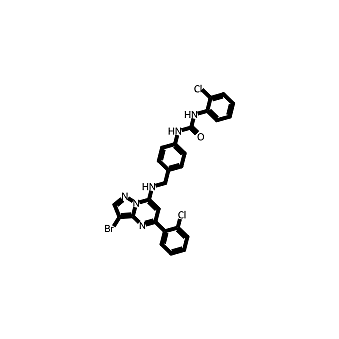 O=C(Nc1ccc(CNc2cc(-c3ccccc3Cl)nc3c(Br)cnn23)cc1)Nc1ccccc1Cl